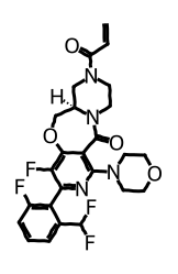 C=CC(=O)N1CCN2C(=O)c3c(N4CCOCC4)nc(-c4c(F)cccc4C(F)F)c(F)c3OC[C@H]2C1